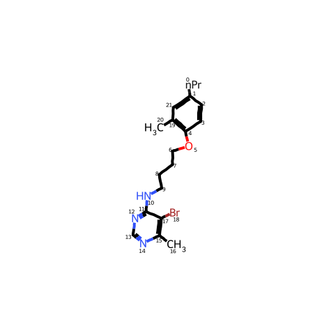 CCCc1ccc(OCCCCNc2ncnc(C)c2Br)c(C)c1